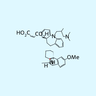 CC(CN(C)C)CN1c2ccccc2CCc2ccccc21.COc1ccc2c(c1)[C@]13CCCC[C@@H]1[C@H](C2)N(C)CC3.O=C(O)/C=C\C(=O)O